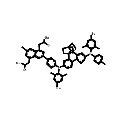 CCCCC(CC)Cc1cc(-c2ccc(N(c3ccc4c(c3)[C@@]35CCC6(CC[C@]3(C6)c3cc(N(c6ccc(C)cc6)c6c(C)cc(C(C)(C)C)cc6C)ccc3-4)C5)c3c(C)cc(C(C)(C)C)cc3C)cc2)cc2c(CC(CC)CCCC)cc(C)cc12